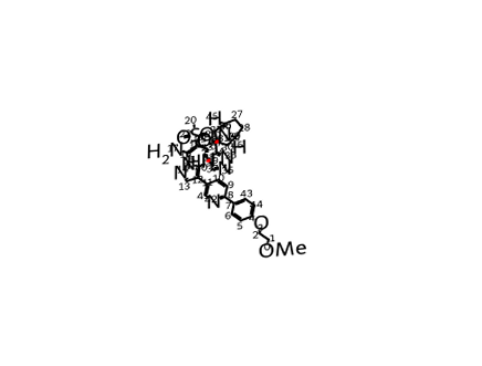 COCCOc1ccc(-c2ccc(-c3cnn4c(N)c(S(C)(=O)=O)c([C@@H]5C[C@H]6CC[C@@H](C5)N6C(=O)c5nnc[nH]5)nc34)cn2)cc1